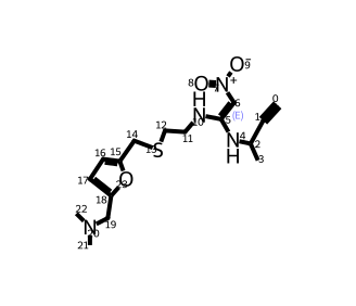 C#CC(C)N/C(=C/[N+](=O)[O-])NCCSCc1ccc(CN(C)C)o1